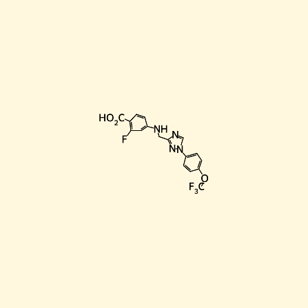 O=C(O)c1ccc(NCc2ncn(-c3ccc(OC(F)(F)F)cc3)n2)cc1F